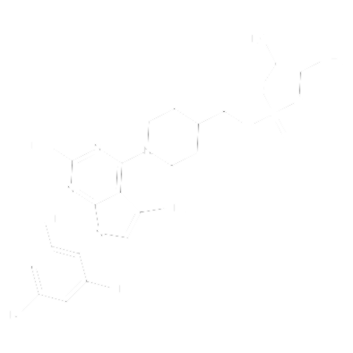 CCOP(=O)(OCC)OCC1CCN(c2nc(C)nc3c2c(C)cn3-c2c(C)cc(Br)cc2C)CC1